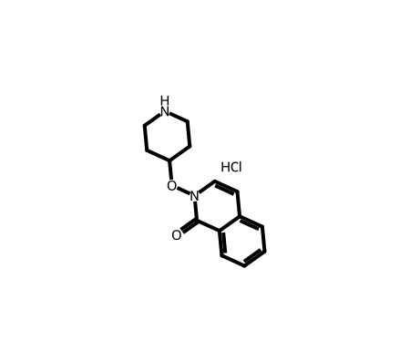 Cl.O=c1c2ccccc2ccn1OC1CCNCC1